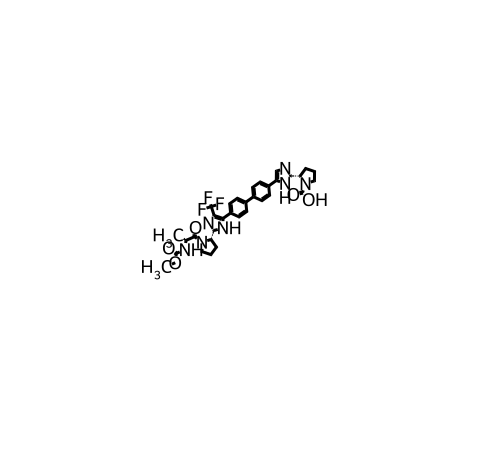 COC(=O)N[C@@H](C)C(=O)N1CCC[C@H]1c1nc(C(F)(F)F)c(-c2ccc(-c3ccc(-c4cnc([C@@H]5CCCN5C(=O)O)[nH]4)cc3)cc2)[nH]1